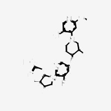 COc1cc(N2CCC(Oc3cnc(N4C[C@H](C)[C@@H](C)[C@@H]4CC(=O)O)c(F)c3)C(C)C2)c(Cl)cn1